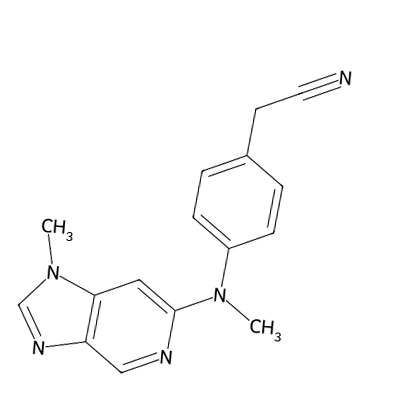 CN(c1ccc(CC#N)cc1)c1cc2c(cn1)ncn2C